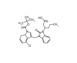 CCCC(CC(=O)O)n1c(=O)n(CC2=CN(C(=O)OC(C)(C)C)C3CC=CC(Cl)=C23)c2ccccc21